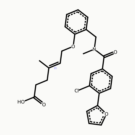 C/C(=C\COc1ccccc1CN(C)C(=O)c1ccc(-c2ccco2)c(Cl)c1)CCC(=O)O